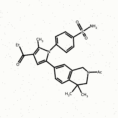 CCC(=O)c1cc(-c2ccc3c(c2)CN(C(C)=O)CC3(C)C)n(-c2ccc(S(N)(=O)=O)cc2)c1C